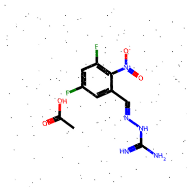 CC(=O)O.N=C(N)NN=Cc1cc(F)cc(F)c1[N+](=O)[O-]